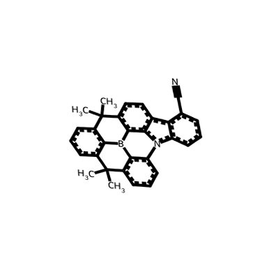 CC1(C)c2cccc3c2B2c4c1cccc4C(C)(C)c1ccc4c5c(C#N)cccc5n-3c4c12